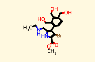 CCNCc1[nH]c(C(=O)OC)c(Br)c1-c1ccc(CO)c(CO)c1CO